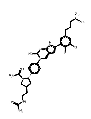 C[C@H](N)CCCc1cc(Cl)c(F)c(-c2cc3c([nH]2)=NC(O)N(c2ccc([C@@H]4CC(CCNC(=N)N)CN4C(=N)N)cc2)C=3)c1